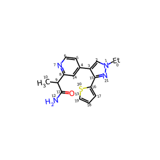 CCn1cc(-c2ccnc(C(C)C(N)=O)c2)c(-c2cccs2)n1